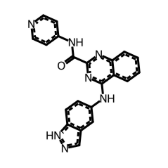 O=C(Nc1ccncc1)c1nc(Nc2ccc3[nH]ncc3c2)c2ccccc2n1